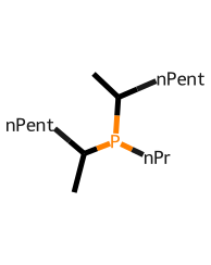 CCCCCC(C)P(CCC)C(C)CCCCC